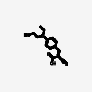 CCN(CCO)c1ccc(C=C(C#N)C(=O)O)cc1